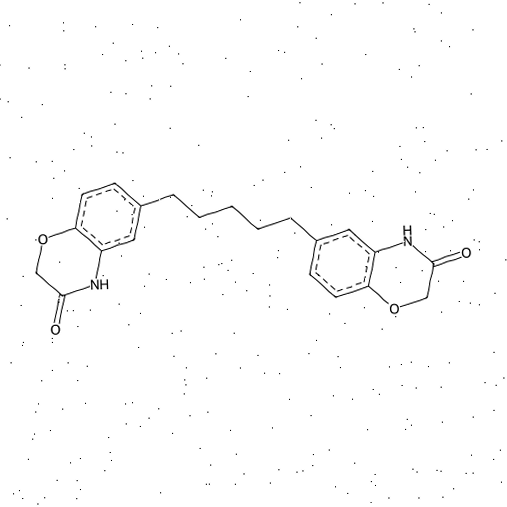 O=C1COc2ccc(CCCCCc3ccc4c(c3)NC(=O)CO4)cc2N1